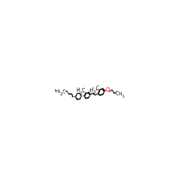 CCCCC[C@H]1CC[C@H](c2ccc(CCc3ccc(OCCCC)cc3C)cc2C)CC1